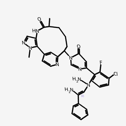 CC1CCCC(n2cnc(-c3c(N(N)/C=C(\N)c4ccccc4)ccc(Cl)c3F)cc2=O)c2cc(ccn2)-c2c(cnn2C)NC1=O